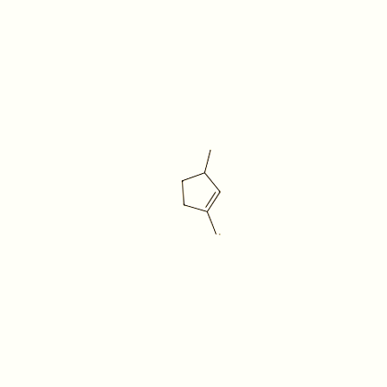 [CH2]C1=CC(C)CC1